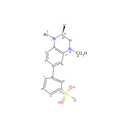 CC(=O)N1c2ccc(-c3cccc(S(C)(=O)=O)c3)cc2N(C(=O)O)C[C@@H]1C